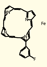 Fc1cccc(-c2cc3cc4nc(cc5ccc(cc6nc(cc2[nH]3)C=C6)[nH]5)C=C4)c1.[Fe]